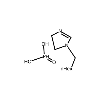 CCCCCCCN1C=NCC1.O=[PH](O)O